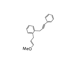 CO/C=C/Cc1ccccc1CC#Cc1ccccc1